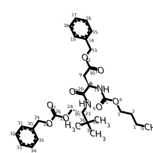 CCCCOC(=O)N[C@H](CC(=O)OCc1ccccc1)C(=O)N[C@@H](COC(=O)OCc1ccccc1)C(C)(C)C